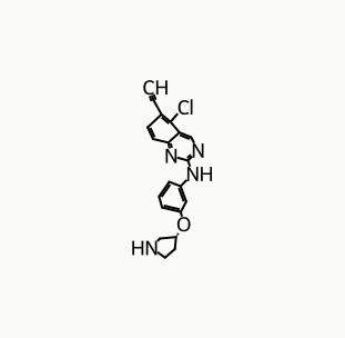 C#Cc1ccc2nc(Nc3cccc(O[C@@H]4CCNC4)c3)ncc2c1Cl